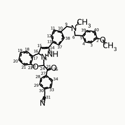 COc1ccc(CN(C)Cc2ccc(C3=CC4c5ccccc5OC(C(=O)c5ccc(C#N)cc5)N4N3)cc2)cc1